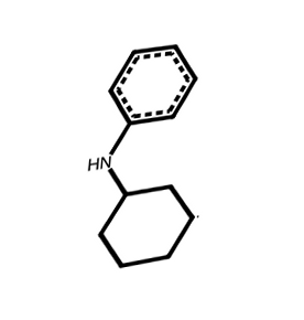 [CH]1CCCC(Nc2ccccc2)C1